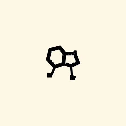 Brc1cccc2scc(Br)c12